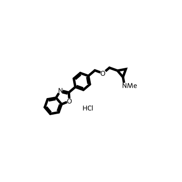 CNC1CC1COCc1ccc(-c2nc3ccccc3o2)cc1.Cl